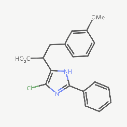 COc1cccc(CC(C(=O)O)c2[nH]c(-c3ccccc3)nc2Cl)c1